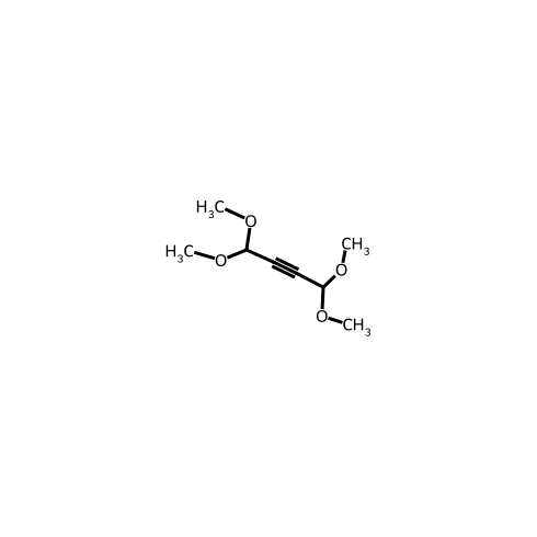 COC(C#CC(OC)OC)OC